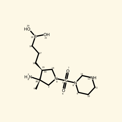 C[C@]1(N)CN(S(=O)(=O)N2CCCNC2)C[C@@H]1CCCB(O)O